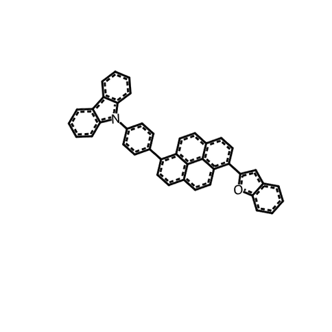 c1ccc2oc(-c3ccc4ccc5c(-c6ccc(-n7c8ccccc8c8ccccc87)cc6)ccc6ccc3c4c65)cc2c1